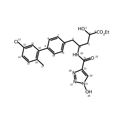 CCOC(=O)C(O)CC(Cc1ccc(-c2cc(Cl)ccc2C)cc1)NC(=O)c1cn(O)nn1